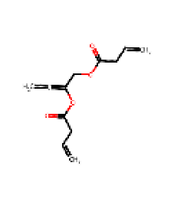 C=C=C(COC(=O)CC=C)OC(=O)CC=C